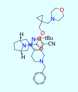 CC(C)(C)OC(=O)N1C[C@H]2CC[C@@H](C1)N2c1nc(OCC2(CN3CCOCC3)CC2)c(C#N)c2c1CCN(Cc1ccccc1)C2